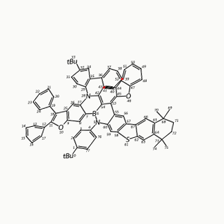 CC(C)(C)c1ccc(N2B3c4cc5oc(-c6ccccc6)c(-c6ccccc6)c5cc4N(c4ccc(C(C)(C)C)cc4-c4ccccc4)c4cc5c(oc6ccccc65)c(c43)-c3cc4c(cc32)sc2cc3c(cc24)C(C)(C)CCC3(C)C)cc1